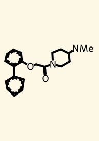 CNC1CCN(C(=O)COc2ccccc2-c2ccccc2)CC1